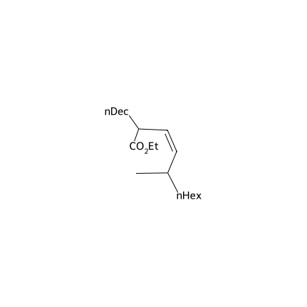 CCCCCCCCCCC(/C=C\C(C)CCCCCC)C(=O)OCC